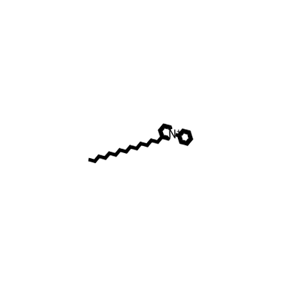 CCCCCCCCCCCCCCc1ccc[n+](-c2ccccc2)c1